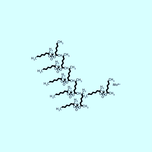 CCCCCCC(C)OP(=O)([O-])OC(C)CCCCCC.CCCCCCC(C)OP(=O)([O-])OC(C)CCCCCC.CCCCCCC(C)OP(=O)([O-])OC(C)CCCCCC.CCCCCCC(C)OP(=O)([O-])OC(C)CCCCCC.CCCCCCC(C)OP(=O)([O-])OC(C)CCCCCC.CCCCCCC(C)OP(=O)([O-])OC(C)CCCCCC.[Mo+6]